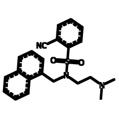 CN(C)CCN(Cc1cccc2ccccc12)S(=O)(=O)c1ccccc1C#N